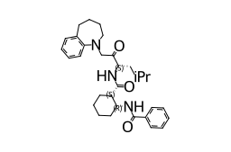 CC(C)C[C@H](NC(=O)[C@H]1CCCC[C@H]1NC(=O)c1ccccc1)C(=O)CN1CCCCc2ccccc21